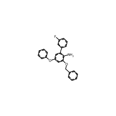 Nc1c(OCc2ccccc2)cc(Oc2ccccc2)cc1-c1cccc(F)c1